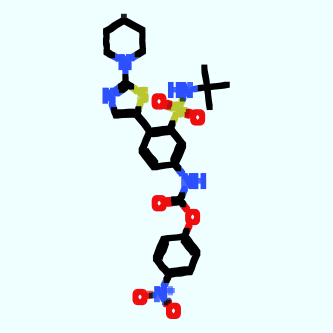 CC(C)(C)NS(=O)(=O)c1cc(NC(=O)Oc2ccc([N+](=O)[O-])cc2)ccc1-c1cnc(N2CC[CH]CC2)s1